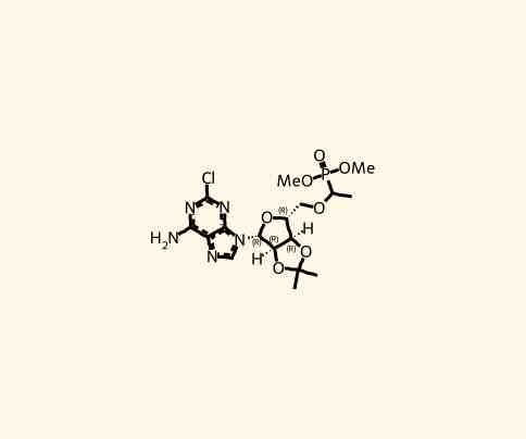 COP(=O)(OC)C(C)OC[C@H]1O[C@@H](n2cnc3c(N)nc(Cl)nc32)[C@@H]2OC(C)(C)O[C@@H]21